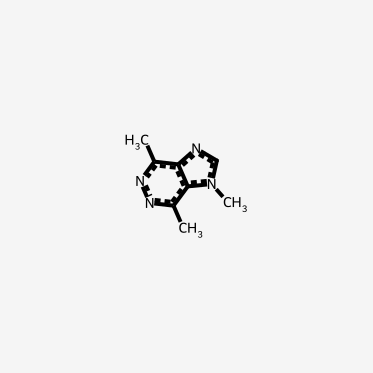 Cc1nnc(C)c2c1ncn2C